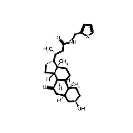 C[C@H](CC(=O)NCc1cccs1)[C@H]1CC[C@H]2[C@@H]3C(=O)C[C@@H]4C[C@H](O)CC[C@]4(C)[C@H]3CC[C@]12C